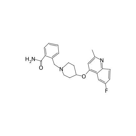 Cc1cc(OC2CCN(Cc3ccccc3C(N)=O)CC2)c2cc(F)ccc2n1